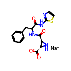 O=C(Nc1nccs1)[C@H](Cc1ccccc1)NC(=O)[C@H]1N[C@@H]1C(=O)[O-].[Na+]